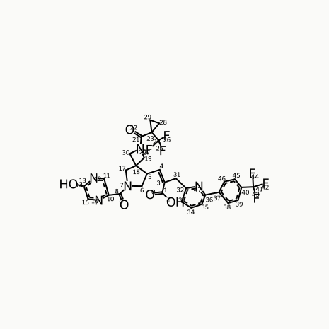 O=C(O)C(=CC1CN(C(=O)c2cnc(O)cn2)CC12CN(C(=O)C1(C(F)(F)F)CC1)C2)Cc1cccc(-c2ccc(C(F)(F)F)cc2)n1